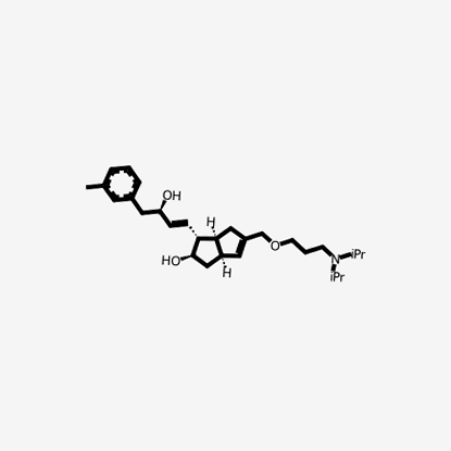 Cc1cccc(C[C@@H](O)/C=C/[C@@H]2[C@H]3CC(COCCCN(C(C)C)C(C)C)=C[C@H]3C[C@H]2O)c1